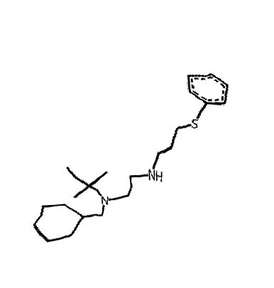 CC(C)(C)N(CCNCCCSc1ccccc1)CC1CCCCC1